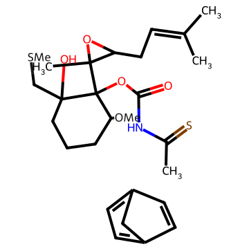 C1=CC2=CC=C1C2.COC1CCCC(O)(CSC)C1(OC(=O)NC(C)=S)C1(C)OC1CC=C(C)C